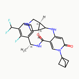 C[C@@H](NC(=O)c1cn(C23CC(C2)C3)c(=O)cc1NC1[C@H]2CNC[C@@H]12)c1cccc(C(F)F)c1F